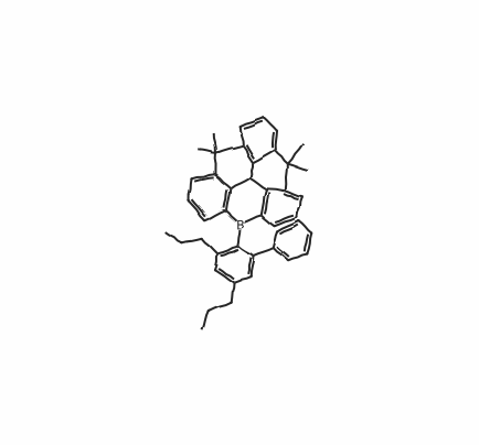 CCCc1cc(CCC)c(B2c3cccc4c3C3c5c2cccc5C(C)(C)c2cccc(c23)C4(C)C)c(-c2ccccc2)c1